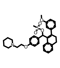 COc1cccc(C2=C(C(OS(C)(=O)=O)c3ccc(OCCN4CCCCC4)cc3)c3ccccc3CC2)c1